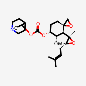 CO[C@@H]1[C@H](OC(=O)OC2CN3CCC2CC3)CC[C@]2(CO2)[C@H]1[C@@]1(C)O[C@@H]1CC=C(C)C